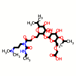 CCNC(=O)N(CCCN(C)C)C(=O)COCC1OC(C(C)C)C(O)C(O)C1OC1OC(COCC(=O)O)C(OC(C)C)C(O)C1O